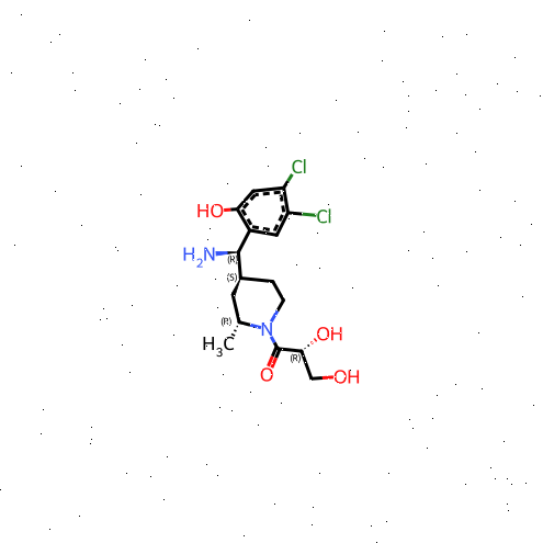 C[C@@H]1C[C@@H]([C@@H](N)c2cc(Cl)c(Cl)cc2O)CCN1C(=O)[C@H](O)CO